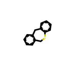 [C]1c2ccccc2CSc2ccccc21